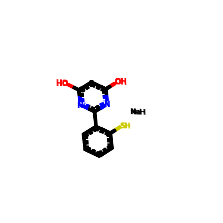 Oc1cc(O)nc(-c2ccccc2S)n1.[NaH]